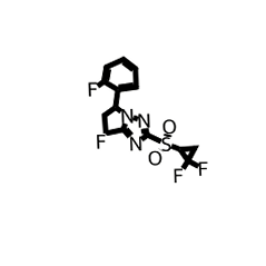 O=S(=O)(c1nc2n(n1)C(c1ccccc1F)CC2F)C1CC1(F)F